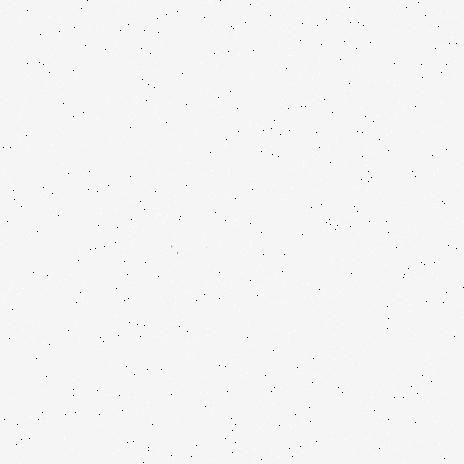 CNC(=O)C=C(C)O